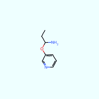 CCC(N)Oc1cccnc1